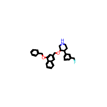 FCc1cccc(C2CCNCC2OCc2cc(OCc3ccccc3)c3ccccc3c2)c1